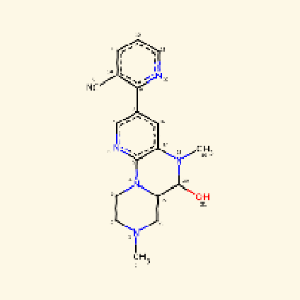 CN1CCN2c3ncc(-c4ncccc4C#N)cc3N(C)C(O)C2C1